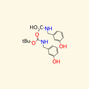 CC(C)(C)OC(=O)NCc1cccc(O)c1.O=C(O)NCc1cccc(O)c1